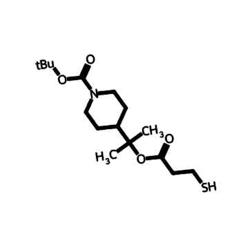 CC(C)(C)OC(=O)N1CCC(C(C)(C)OC(=O)CCS)CC1